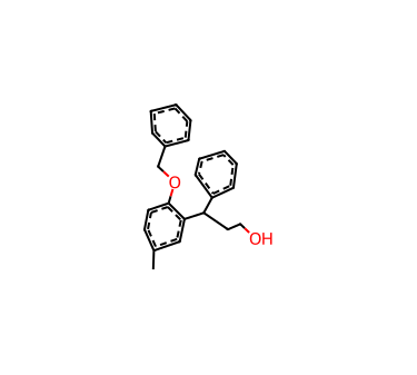 Cc1ccc(OCc2ccccc2)c(C(CCO)c2ccccc2)c1